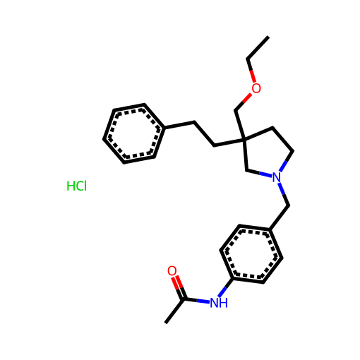 CCOCC1(CCc2ccccc2)CCN(Cc2ccc(NC(C)=O)cc2)C1.Cl